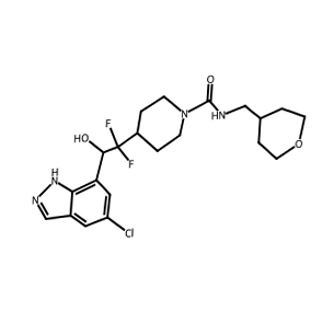 O=C(NCC1CCOCC1)N1CCC(C(F)(F)C(O)c2cc(Cl)cc3cn[nH]c23)CC1